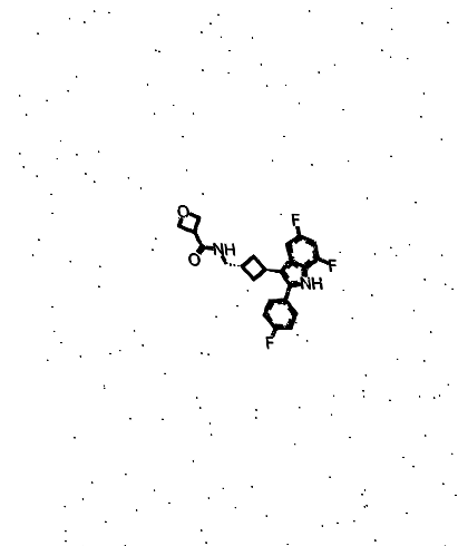 O=C(NC[C@H]1C[C@H](c2c(-c3ccc(F)cc3)[nH]c3c(F)cc(F)cc32)C1)C1COC1